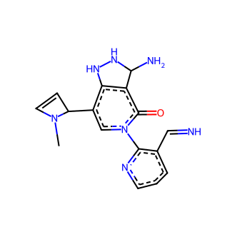 CN1C=CC1c1cn(-c2ncccc2C=N)c(=O)c2c1NNC2N